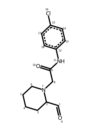 O=CC1CCCCN1CC(=O)Nc1ccc(Cl)cc1